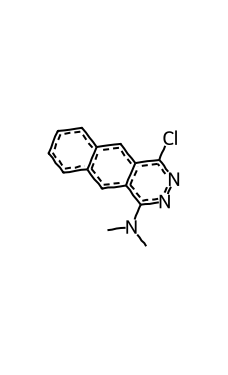 CN(C)c1nnc(Cl)c2cc3ccccc3cc12